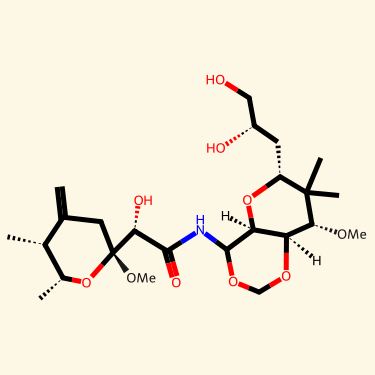 C=C1C[C@](OC)([C@H](O)C(=O)NC2OCO[C@H]3[C@@H]2O[C@H](C[C@H](O)CO)C(C)(C)[C@@H]3OC)O[C@H](C)[C@@H]1C